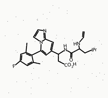 C=CNC(CC(C)C)C(=O)NC(CC(=O)O)c1cc(-c2c(C)cc(F)cc2C)n2ccnc2c1